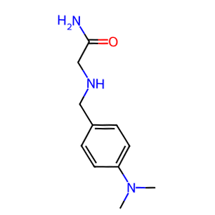 CN(C)c1ccc(CNCC(N)=O)cc1